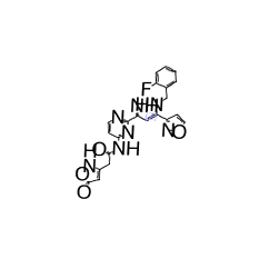 N=C(/C=C(\NCc1ccccc1F)c1ccon1)c1nccc(NC(=O)Cc2cc(=O)o[nH]2)n1